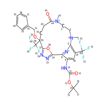 CN1CCN(C)c2nc(c(NC(=O)OC(C)(C)C)cc2C(F)(F)F)-c2nnc(o2)C(OCc2ccccc2)(C(F)(F)F)CCC1=O